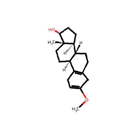 COC1=CCC2=C(CC[C@@H]3[C@@H]2CC[C@]2(C)[C@@H](O)CC[C@@H]32)C1